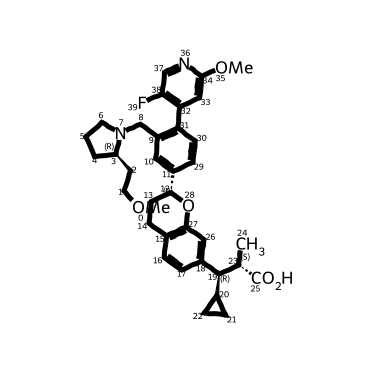 COCC[C@H]1CCCN1Cc1cc([C@H]2CCc3ccc([C@H](C4CC4)[C@H](C)C(=O)O)cc3O2)ccc1-c1cc(OC)ncc1F